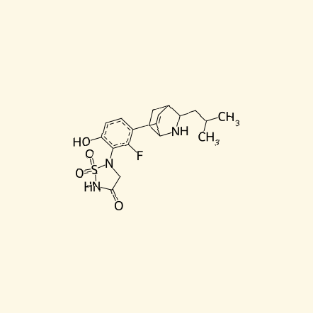 CC(C)CC1NC2CCC1C=C2c1ccc(O)c(N2CC(=O)NS2(=O)=O)c1F